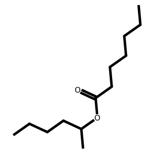 CCCCCCC(=O)OC(C)CCCC